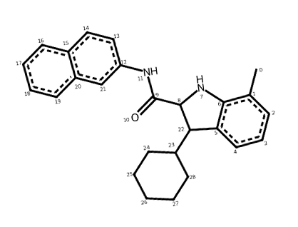 Cc1cccc2c1NC(C(=O)Nc1ccc3ccccc3c1)C2C1CCCCC1